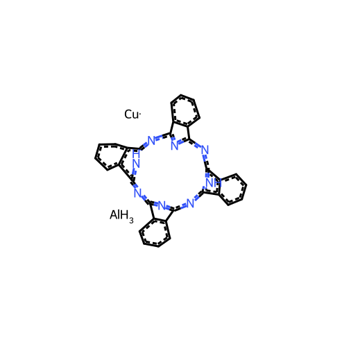 [AlH3].[Cu].c1ccc2c(c1)-c1nc-2nc2[nH]c(nc3nc(nc4[nH]c(n1)c1ccccc41)-c1ccccc1-3)c1ccccc21